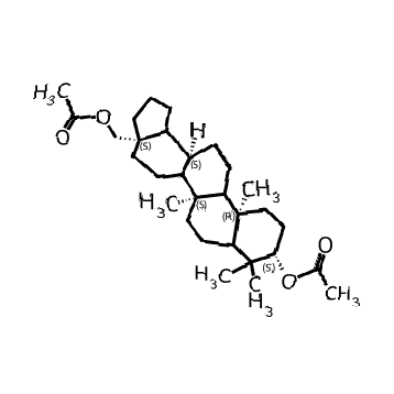 CC(=O)OC[C@]12CCCC1[C@H]1CCC3[C@@](C)(CCC4C(C)(C)[C@@H](OC(C)=O)CC[C@@]43C)C1CC2